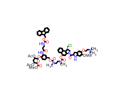 COC(=O)[C@H]1O[C@H](Oc2ccc(COC(=O)N(C)CCN(C)C(=O)Oc3cc4c(c5ccccc35)[C@H](CCl)CN4C(=O)C3Cc4cc(OCCN(C)C)c(OC)cc4N3)cc2NC(=O)CCNC(=O)OCC2c3ccccc3-c3ccccc32)[C@H](OC(C)=O)CC1OC(C)=O